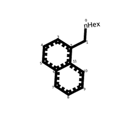 CCCCCC[CH]c1cccc2ccccc12